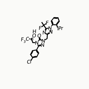 CC(C)c1ccccc1-n1nc(Cn2nc(-c3ccc(Cl)cc3)n(C[C@H](O)C(F)(F)F)c2=O)nc1C(C)(F)F